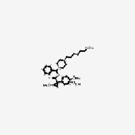 CCCCCCCCCCCCCCCCN1CCN(C(OC(=O)C2(c3ccc(OC)cc3)CC2OC)c2ccccc2)CC1.Cl.Cl